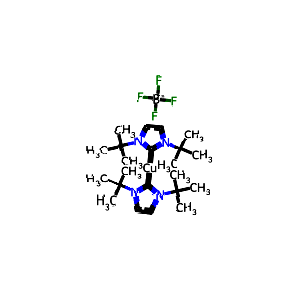 CC(C)(C)n1ccn(C(C)(C)C)[c]1=[Cu]=[c]1n(C(C)(C)C)ccn1C(C)(C)C.F[B-](F)(F)F